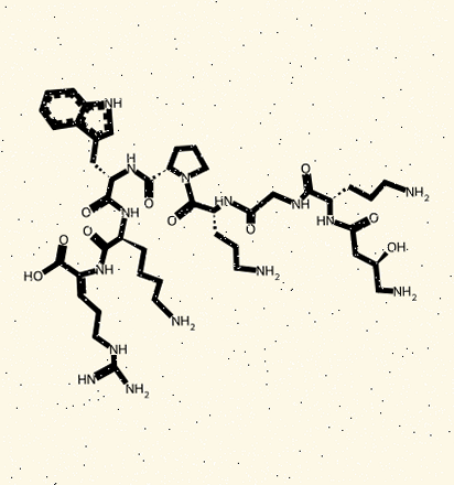 N=C(N)NCC/C=C(\NC(=O)[C@H](CCCCN)NC(=O)[C@H](Cc1c[nH]c2ccccc12)NC(=O)[C@@H]1CCCN1C(=O)[C@@H](CCCN)NC(=O)CNC(=O)[C@H](CCCN)NC(=O)C[C@@H](O)CN)C(=O)O